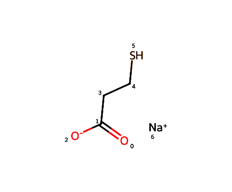 O=C([O-])CCS.[Na+]